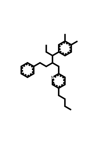 CCCCc1ccc(CC(CCc2ccccc2)C(CC)c2ccc(C)c(C)c2)nc1